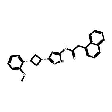 COc1ccccc1[C@H]1C[C@@H](c2cc(NC(=O)Cc3cccc4ccccc34)[nH]n2)C1